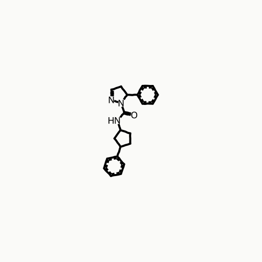 O=C(NC1CCC(c2ccccc2)C1)N1N=CCC1c1ccccc1